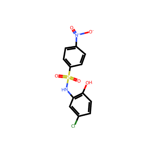 O=[N+]([O-])c1ccc(S(=O)(=O)Nc2cc(Cl)ccc2O)cc1